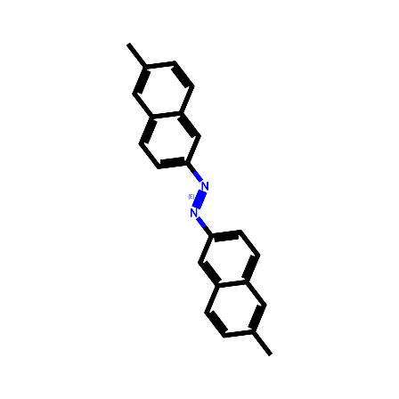 Cc1ccc2cc(/N=N/c3ccc4cc(C)ccc4c3)ccc2c1